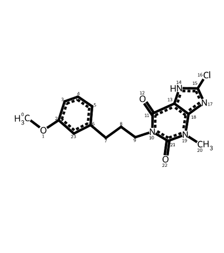 COc1cccc(CCCn2c(=O)c3[nH]c(Cl)nc3n(C)c2=O)c1